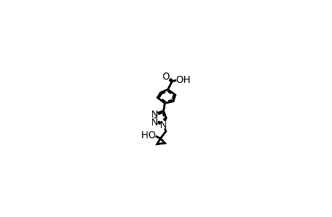 O=C(O)c1ccc(-c2cn(CC3(O)CC3)nn2)cc1